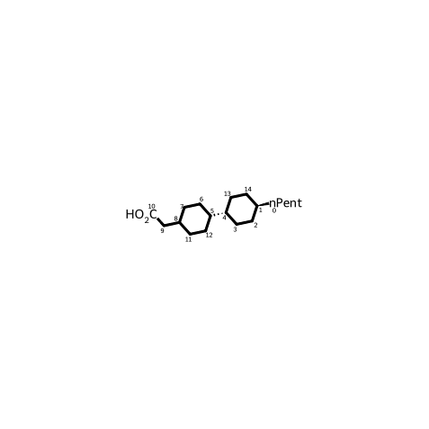 CCCCC[C@H]1CC[C@H](C2CCC(CC(=O)O)CC2)CC1